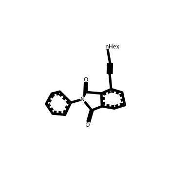 CCCCCCC#Cc1cccc2c1C(=O)N(c1ccccc1)C2=O